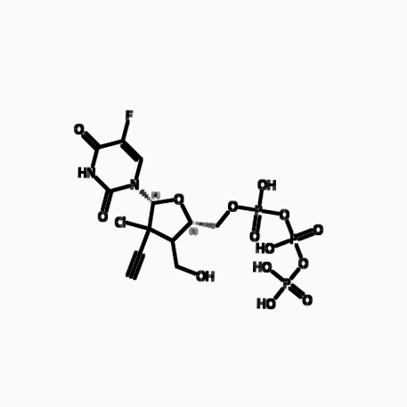 C#CC1(Cl)C(CO)[C@@H](COP(=O)(O)OP(=O)(O)OP(=O)(O)O)O[C@H]1n1cc(F)c(=O)[nH]c1=O